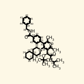 Cc1nc(C)c([C@H](OC(C)(C)C)C(=O)OC(C)C)c(N2CCC3(CCCCC3)CC2)c1-c1ccc(C(=O)NCc2ccccc2)cc1